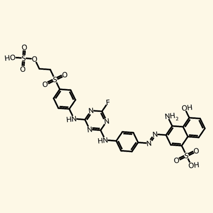 Nc1c(N=Nc2ccc(Nc3nc(F)nc(Nc4ccc(S(=O)(=O)CCOS(=O)(=O)O)cc4)n3)cc2)cc(S(=O)(=O)O)c2cccc(O)c12